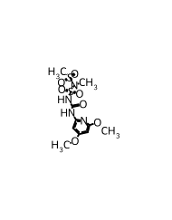 COc1cc(NC(=O)NS(=O)(=O)N(C)S(C)(=O)=O)nc(OC)c1